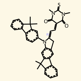 CN1C(=O)C(=C/C=C2\Cc3cc4c(cc3N2c2ccc3c(c2)C(C)(C)c2ccccc2-3)C(C)(C)c2ccccc2-4)C(=O)N(C)C1=S